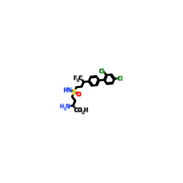 N=S(=O)(CCC(c1ccc(-c2ccc(Cl)cc2Cl)cc1)C(F)(F)F)CC[C@H](N)C(=O)O